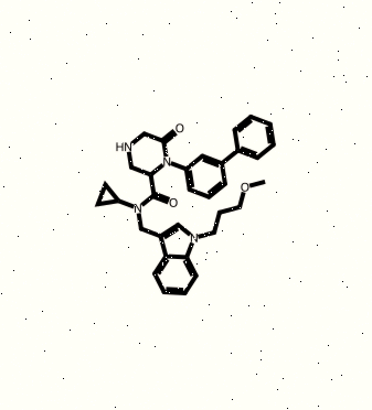 COCCCn1cc(CN(C(=O)C2CNCC(=O)N2c2cccc(-c3ccccc3)c2)C2CC2)c2ccccc21